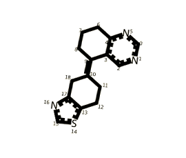 c1ncc2c(n1)CCC/C2=C1/CCc2scnc2C1